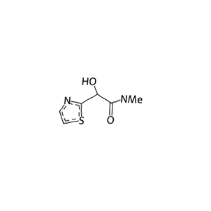 CNC(=O)C(O)c1nccs1